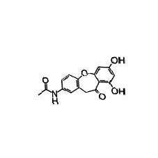 CC(=O)Nc1ccc2c(c1)CC(=O)c1c(O)cc(O)cc1O2